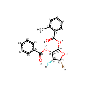 Cc1ccccc1C(=O)O[C@@H]1O[C@H](Br)[C@@H](F)[C@@H]1OC(=O)c1ccccc1